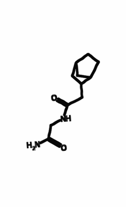 NC(=O)CNC(=O)CC1CC2CCC1C2